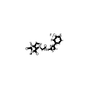 Cn1c(=O)c2c(cnn2CC(=O)Nc2nc(-c3ccc(F)c(C(F)(F)F)c3F)cs2)n(C)c1=O